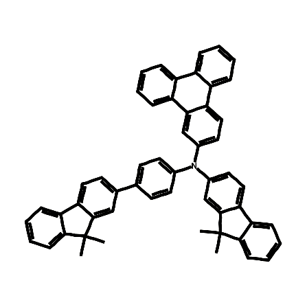 CC1(C)c2ccccc2-c2ccc(-c3ccc(N(c4ccc5c(c4)C(C)(C)c4ccccc4-5)c4ccc5c6ccccc6c6ccccc6c5c4)cc3)cc21